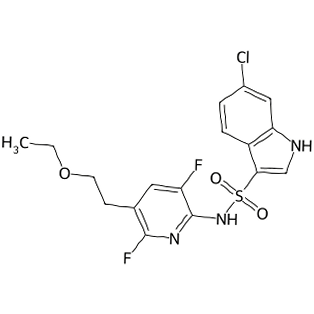 CCOCCc1cc(F)c(NS(=O)(=O)c2c[nH]c3cc(Cl)ccc23)nc1F